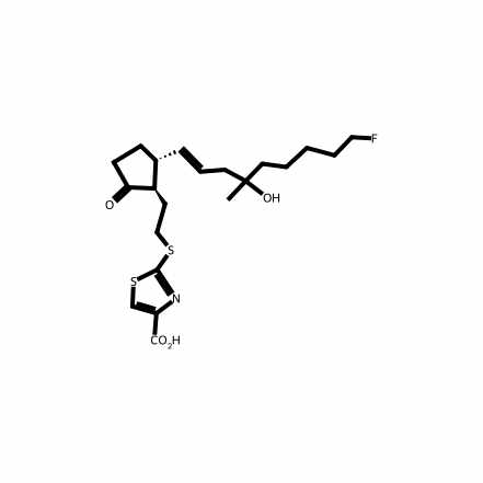 CC(O)(CC=C[C@H]1CCC(=O)[C@@H]1CCSc1nc(C(=O)O)cs1)CCCCCF